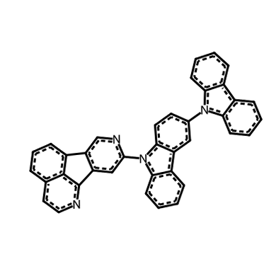 c1cc2c3c(nccc3c1)-c1cc(-n3c4ccccc4c4cc(-n5c6ccccc6c6ccccc65)ccc43)ncc1-2